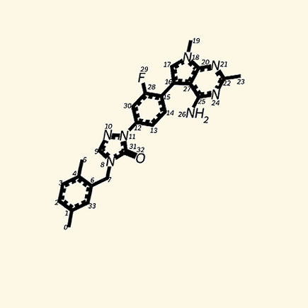 Cc1ccc(C)c(Cn2cnn(-c3ccc(-c4cn(C)c5nc(C)nc(N)c45)c(F)c3)c2=O)c1